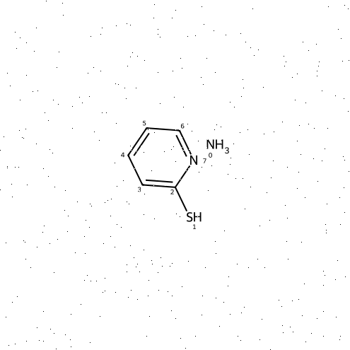 N.Sc1ccccn1